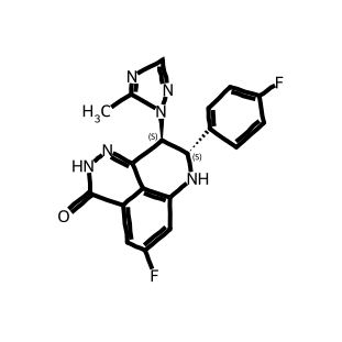 Cc1ncnn1[C@@H]1c2n[nH]c(=O)c3cc(F)cc(c23)N[C@H]1c1ccc(F)cc1